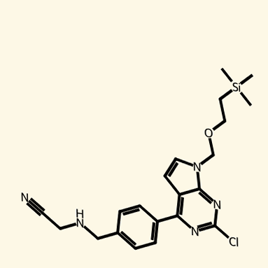 C[Si](C)(C)CCOCn1ccc2c(-c3ccc(CNCC#N)cc3)nc(Cl)nc21